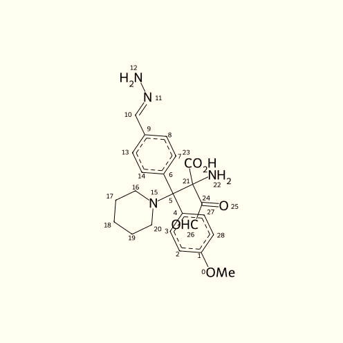 COc1ccc(C(c2ccc(C=NN)cc2)(N2CCCCC2)C(N)(C(=O)O)C(=O)C=O)cc1